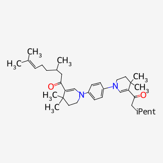 CCCC(C)CC(=O)C1=CN(c2ccc(N3C=C(C(=O)CC(C)CCC=C(C)C)C(C)(C)CC3)cc2)CCC1(C)C